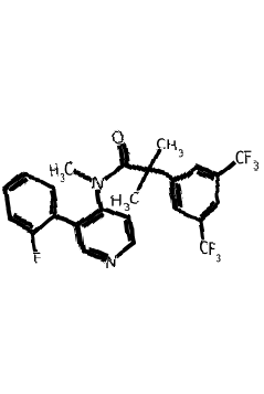 CN(C(=O)C(C)(C)c1cc(C(F)(F)F)cc(C(F)(F)F)c1)c1ccncc1-c1ccccc1F